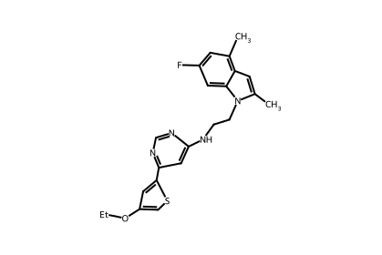 CCOc1csc(-c2cc(NCCn3c(C)cc4c(C)cc(F)cc43)ncn2)c1